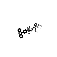 C[C@H](NC(=O)OC(C)(C)C)C(=O)Nc1ccc(-c2c3ccccc3nc3ccccc23)cc1